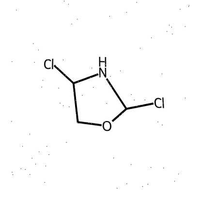 ClC1COC(Cl)N1